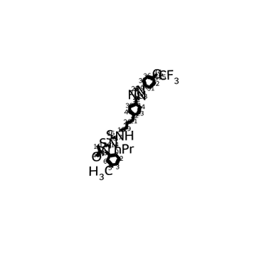 CCCc1ccc(C)cc1N1C(=O)CS/C1=N\C(=S)NCCCCc1ccc(-c2ncn(-c3ccc(OC(F)(F)F)cc3)n2)cc1